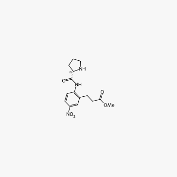 COC(=O)CCc1cc([N+](=O)[O-])ccc1NC(=O)[C@@H]1CCCN1